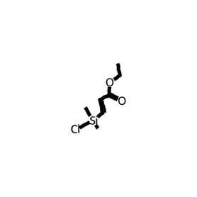 CCOC(=O)C=C[Si](C)(C)Cl